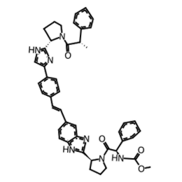 COC(=O)N[C@@H](C(=O)N1CCC[C@H]1c1nc2cc(/C=C/c3ccc(-c4c[nH]c([C@@H]5CCCN5C(=O)[C@@H](C)c5ccccc5)n4)cc3)ccc2[nH]1)c1ccccc1